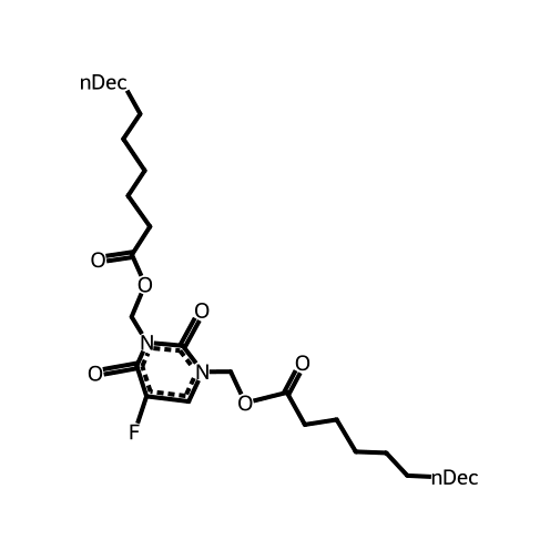 CCCCCCCCCCCCCCCC(=O)OCn1cc(F)c(=O)n(COC(=O)CCCCCCCCCCCCCCC)c1=O